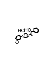 COc1cccc(N2CCN(C(C)C(O)c3ccccc3)CC2)c1.Cl